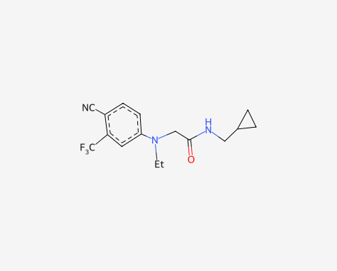 CCN(CC(=O)NCC1CC1)c1ccc(C#N)c(C(F)(F)F)c1